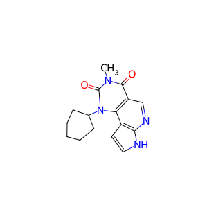 Cn1c(=O)c2cnc3[nH]ccc3c2n(C2CCCCC2)c1=O